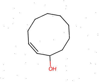 OC1C=CCCCCCCC1